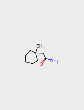 CC1(CC(N)=O)CCCCC1